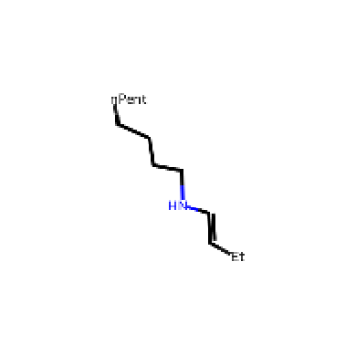 CC/C=C/NCCCCCCCCC